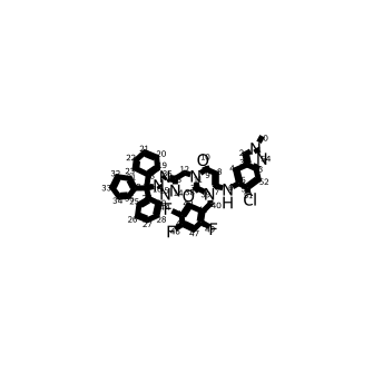 Cn1cc2cc(Nc3cc(=O)n(Cc4nnn(C(c5ccccc5)(c5ccccc5)c5ccccc5)n4)c(=O)n3Cc3cc(F)c(F)cc3F)c(Cl)cc2n1